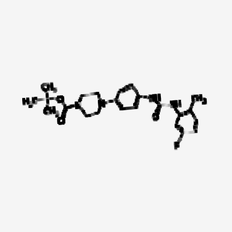 Cc1ccc(F)cc1NC(=O)Nc1ccc(N2CCN(C(=O)OC(C)(C)C)CC2)cc1